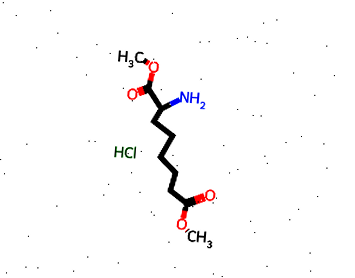 COC(=O)CCCCCC(N)C(=O)OC.Cl